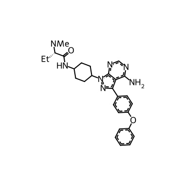 CC[C@H](NC)C(=O)NC1CCC(n2nc(-c3ccc(Oc4ccccc4)cc3)c3c(N)ncnc32)CC1